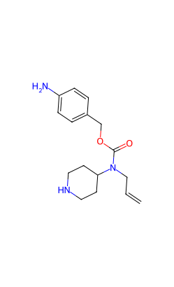 C=CCN(C(=O)OCc1ccc(N)cc1)C1CCNCC1